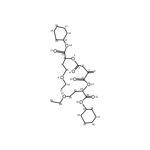 C=C(CC(=O)OC(CCOCC)C(=O)OC1CCCCC1)C(=O)OC(CCOCC)C(=O)OC1CCCCC1